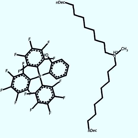 CCCCCCCCCCCCCCCCCC[NH+](C)CCCCCCCCCCCCCCCCCC.Oc1ccccc1[B-](c1c(F)c(F)c(F)c(F)c1F)(c1c(F)c(F)c(F)c(F)c1F)c1c(F)c(F)c(F)c(F)c1F